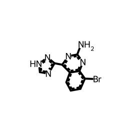 Nc1nc(-c2nc[nH]n2)c2cccc(Br)c2n1